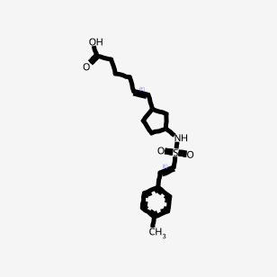 Cc1ccc(/C=C/S(=O)(=O)NC2CCC(/C=C/CCCC(=O)O)C2)cc1